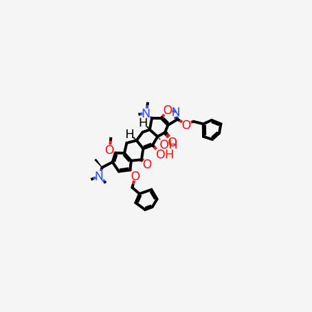 COc1c([C@H](C)N(C)C)cc(OCc2ccccc2)c2c1C[C@H]1C[C@H]3[C@H](N(C)C)c4onc(OCc5ccccc5)c4C(=O)[C@@]3(O)C(O)=C1C2=O